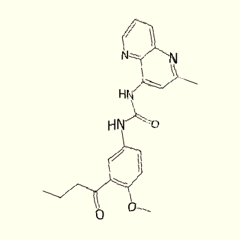 CCCC(=O)c1cc(NC(=O)Nc2cc(C)nc3cccnc23)ccc1OC